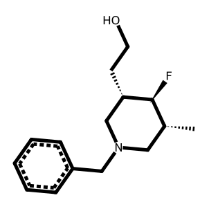 C[C@@H]1CN(Cc2ccccc2)C[C@H](CCO)[C@H]1F